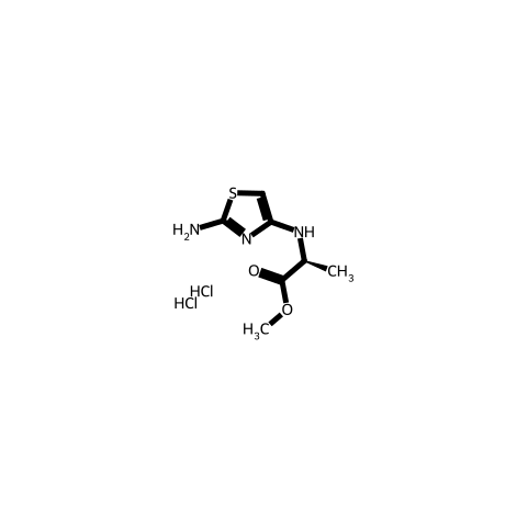 COC(=O)[C@H](C)Nc1csc(N)n1.Cl.Cl